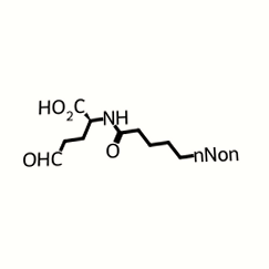 CCCCCCCCCCCCCC(=O)N[C@@H](CCC=O)C(=O)O